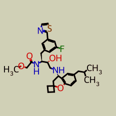 COCC(=O)N[C@@H](Cc1cc(F)cc(-c2nccs2)c1)[C@H](O)CN[C@H]1CC2(CCC2)Oc2ccc(CC(C)C)cc21